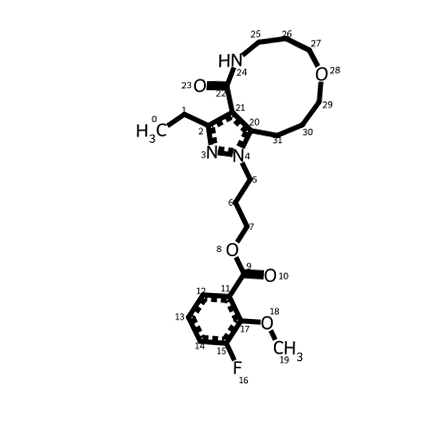 CCc1nn(CCCOC(=O)c2cccc(F)c2OC)c2c1C(=O)NCCCOCCC2